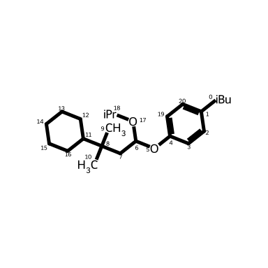 CCC(C)c1ccc(OC(CC(C)(C)C2CCCCC2)OC(C)C)cc1